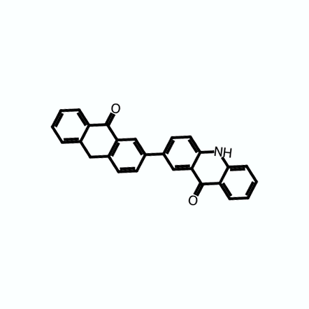 O=C1c2ccccc2Cc2ccc(-c3ccc4[nH]c5ccccc5c(=O)c4c3)cc21